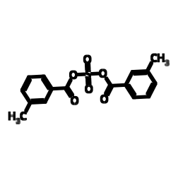 Cc1cccc(C(=O)OS(=O)(=O)OC(=O)c2cccc(C)c2)c1